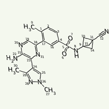 Cc1ccc(S(=O)(=O)NC23CC(C#N)(C2)C3)cc1-c1cnc(N)c(-c2cn(C)nc2C)n1